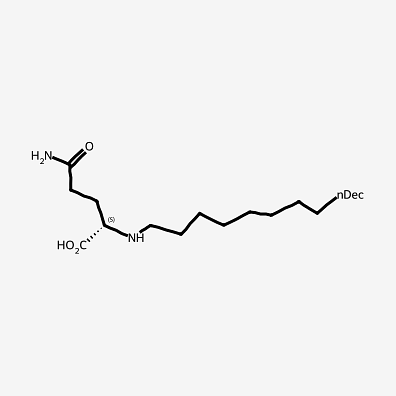 CCCCCCCCCCCCCCCCCCN[C@@H](CCC(N)=O)C(=O)O